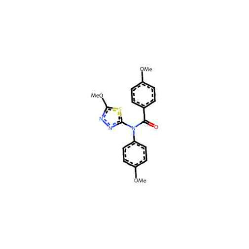 COc1ccc(C(=O)N(c2ccc(OC)cc2)c2nnc(OC)s2)cc1